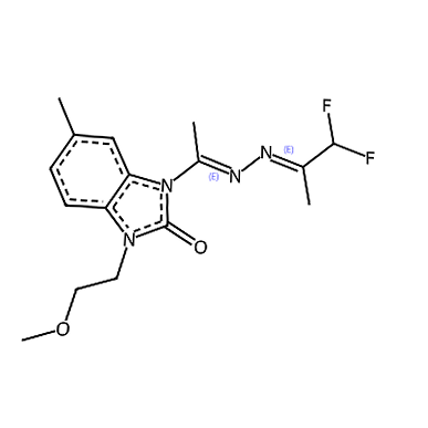 COCCn1c(=O)n(/C(C)=N/N=C(\C)C(F)F)c2cc(C)ccc21